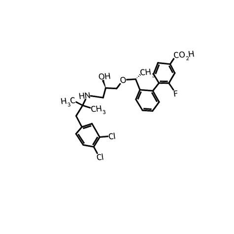 C[C@@H](OC[C@H](O)CNC(C)(C)Cc1ccc(Cl)c(Cl)c1)c1ccccc1-c1ccc(C(=O)O)cc1F